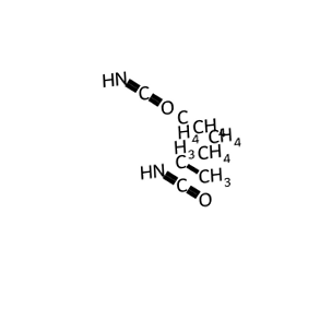 C.C.C.C.CC.N=C=O.N=C=O